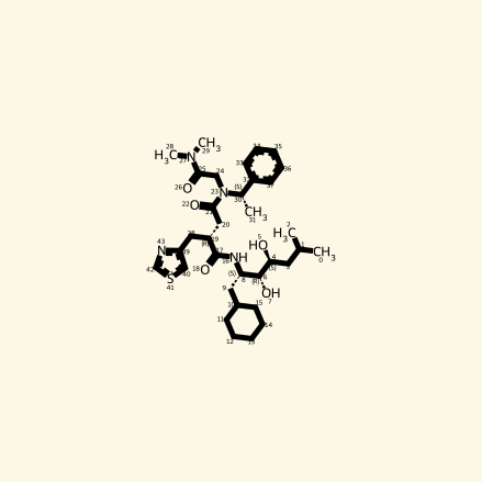 CC(C)C[C@H](O)[C@H](O)[C@H](CC1CCCCC1)NC(=O)[C@@H](CC(=O)N(CC(=O)N(C)C)[C@@H](C)c1ccccc1)Cc1cscn1